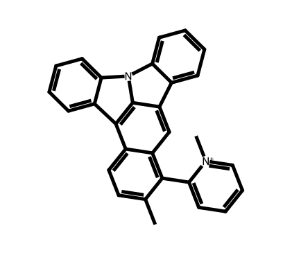 Cc1ccc2c(cc3c4ccccc4n4c5ccccc5c2c34)c1-c1cccc[n+]1C